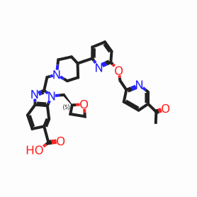 CC(=O)c1ccc(COc2cccc(C3CCN(Cc4nc5ccc(C(=O)O)cc5n4C[C@@H]4CCO4)CC3)n2)nc1